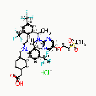 CCN(CC1CCC(CC(=O)O)CC1)c1ccc(C(F)(F)F)cc1CN(c1ncc(OCCS(C)(=O)=O)cn1)C(C)c1cc(C(F)(F)F)cc(C(F)(F)F)c1.Cl